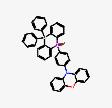 S=P1(c2ccc(N3c4ccccc4Oc4ccccc43)cc2)c2ccccc2[Si](c2ccccc2)(c2ccccc2)c2ccccc21